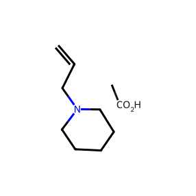 C=CCN1CCCCC1.CC(=O)O